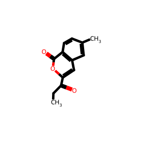 CCC(=O)c1cc2cc(C)ccc2c(=O)o1